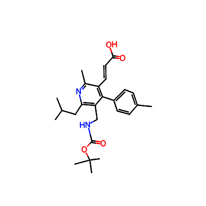 Cc1ccc(-c2c(C=CC(=O)O)c(C)nc(CC(C)C)c2CNC(=O)OC(C)(C)C)cc1